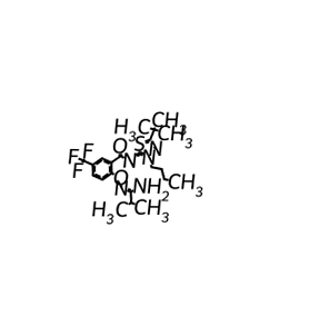 CCCCn1nc(C(C)(C)C)s/c1=N\C(=O)c1cc(C(F)(F)F)ccc1O/N=C(\N)C(C)C